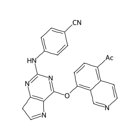 CC(=O)c1ccc(Oc2nc(Nc3ccc(C#N)cc3)nc3c2N=CC3)c2cnccc12